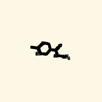 CC1CCC(C(=O)NN)CN1